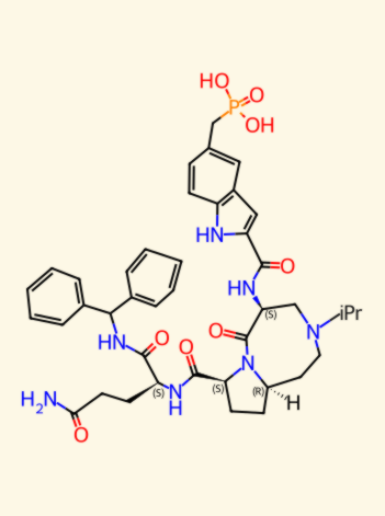 CC(C)N1CC[C@H]2CC[C@@H](C(=O)N[C@@H](CCC(N)=O)C(=O)NC(c3ccccc3)c3ccccc3)N2C(=O)[C@@H](NC(=O)c2cc3cc(CP(=O)(O)O)ccc3[nH]2)C1